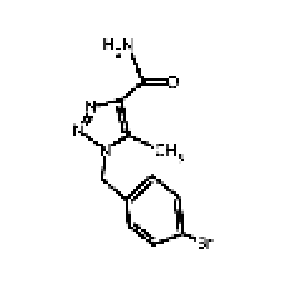 Cc1c(C(N)=O)nnn1Cc1ccc(Br)cc1